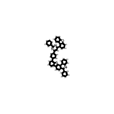 c1ccc(-c2nc(-c3ccc(-c4cccc5c4sc4c5ccc5c(-c6ccccc6)nc6ccccc6c54)cc3)cc(-c3cccc4oc5ccccc5c34)n2)cc1